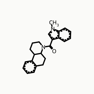 Cn1cc(C(=O)N2CCCC3c4ccccc4CCC32)c2ccccc21